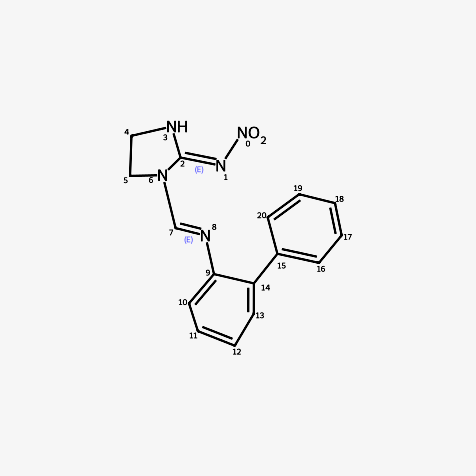 O=[N+]([O-])/N=C1\NCCN1/C=N/c1ccccc1-c1ccccc1